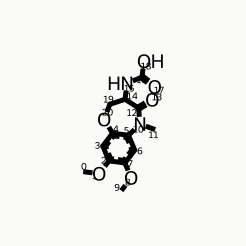 COc1cc2c(cc1OC)N(C)C(=O)C(NC(=O)O)CO2